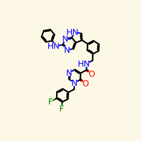 O=C(NCc1cccc(-c2c[nH]c3nc(Nc4ccccc4)ncc23)c1)c1cncn(Cc2ccc(F)c(F)c2)c1=O